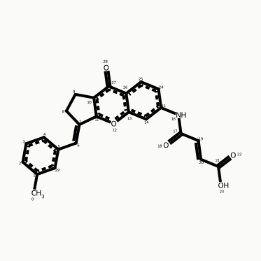 Cc1cccc(/C=C2\CCc3c2oc2cc(NC(=O)/C=C/C(=O)O)ccc2c3=O)c1